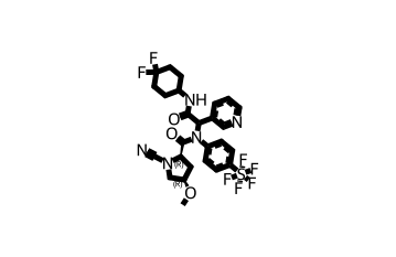 CO[C@@H]1C[C@H](C(=O)N(c2ccc(S(F)(F)(F)(F)F)cc2)C(C(=O)NC2CCC(F)(F)CC2)c2cccnc2)N(C#N)C1